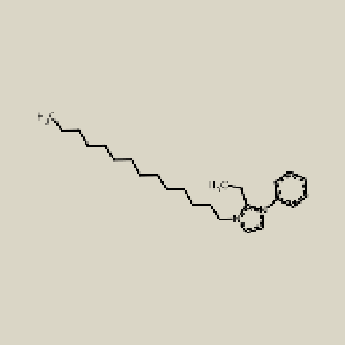 CCCCCCCCCCCCCC[n+]1ccn(-c2ccccc2)c1CC